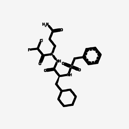 NC(=O)CCN(NC(=O)[C@H](CC1CCCCC1)NS(=O)(=O)Cc1ccccc1)C(=O)C(F)Cl